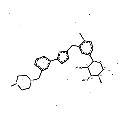 CS[C@H]1C(c2ccc(C)c(Cc3ccc(-c4cccc(CN5CCN(C)CC5)c4)s3)c2)O[C@H](C)[C@@H](C)[C@@H]1OC(C)=O